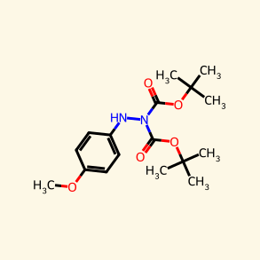 COc1ccc(NN(C(=O)OC(C)(C)C)C(=O)OC(C)(C)C)cc1